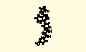 COc1ccc(NC(=O)NC2CCN(c3nnc(-c4ccnn4C)c4ccccc34)CC2)cc1